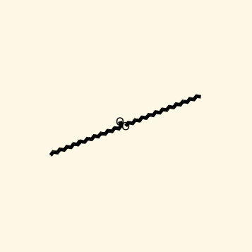 CCCCCCCCC=CCCCCCCCCCCCC(=O)OCCCCCCCCCCCCCCCCCCCCCC